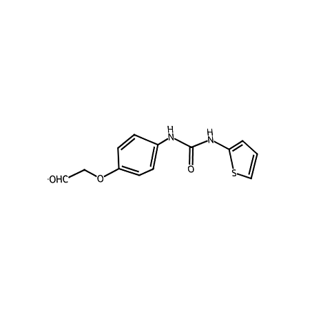 O=[C]COc1ccc(NC(=O)Nc2cccs2)cc1